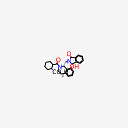 O=C(O)C1CCCCC1C(=O)N1CCc2cccc(O)c2[C@H]1CN1Cc2ccccc2C1=O